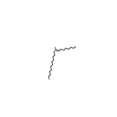 CCCCCCCCCCCC[N+](C)CCCCCCCC